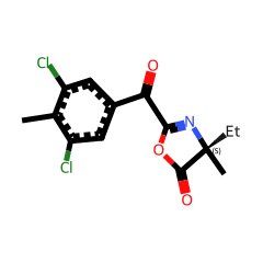 CC[C@]1(C)N=C(C(=O)c2cc(Cl)c(C)c(Cl)c2)OC1=O